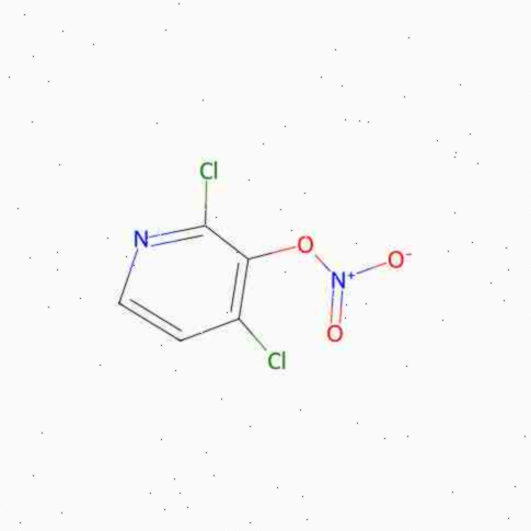 O=[N+]([O-])Oc1c(Cl)ccnc1Cl